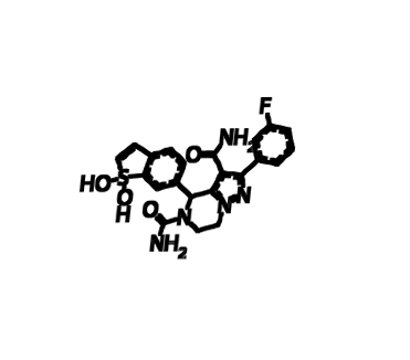 NC(=O)c1c(-c2cccc(F)c2)nn2c1C(c1ccc3c(c1)S(O)(O)C=C3)N(C(N)=O)CC2